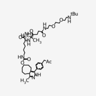 CC(=O)Cc1ccc(C2=C3CCC(OC(=O)NCCCC[C@H](NC(C)(C)C(=O)CCC(=O)NCCOCCOCCNC(C)(C)C)C(N)=O)CCCC3C(C)=NN2)cc1